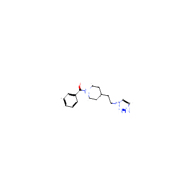 O=C(c1ccccc1)N1CCC(CCn2ccnn2)CC1